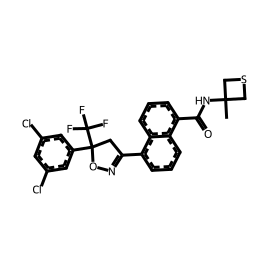 CC1(NC(=O)c2cccc3c(C4=NOC(c5cc(Cl)cc(Cl)c5)(C(F)(F)F)C4)cccc23)CSC1